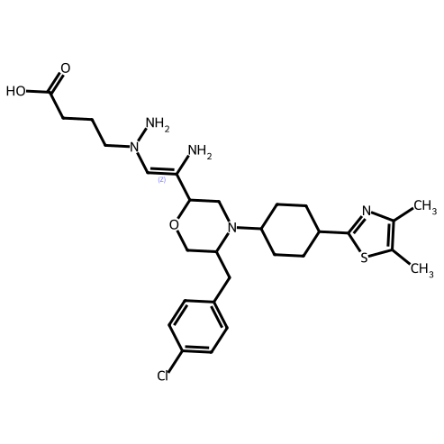 Cc1nc(C2CCC(N3CC(/C(N)=C/N(N)CCCC(=O)O)OCC3Cc3ccc(Cl)cc3)CC2)sc1C